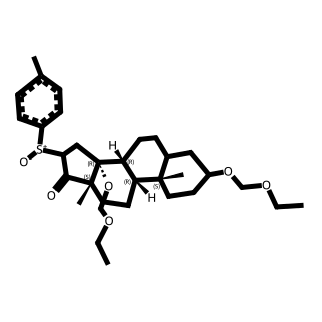 CCOCOC1CC[C@@]2(C)C(CC[C@@H]3[C@H]2CC[C@]2(C)C(=O)C([S+]([O-])c4ccc(C)cc4)C[C@@]32OCOCC)C1